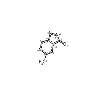 O=c1[nH]nc2cnc(C(F)(F)F)cn12